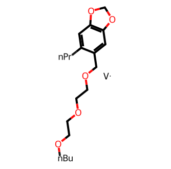 CCCCOCCOCCOCc1cc2c(cc1CCC)OCO2.[V]